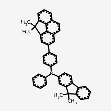 CC1(C)c2ccccc2-c2ccc(N(c3ccccc3)c3ccc(-c4cc5c6c(ccc7cccc(c76)C5(C)C)c4)cc3)cc21